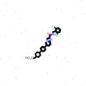 O=C(O)CC1CCC(c2ccc(-c3ccc4nc(C(=O)NCc5c(Cl)cccc5Cl)cn4c3)cc2)CC1